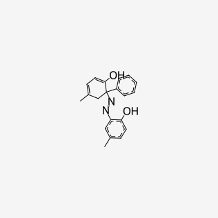 CC1=CC=C(O)C(N=Nc2cc(C)ccc2O)(c2ccccc2)C1